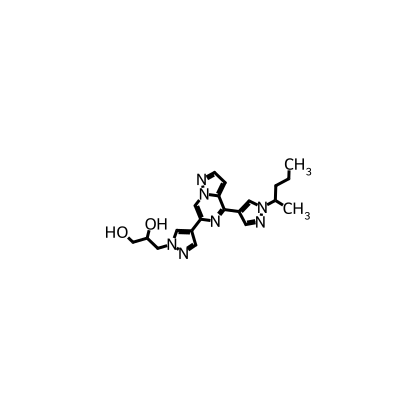 CCCC(C)n1cc(-c2nc(-c3cnn(CC(O)CO)c3)cn3nccc23)cn1